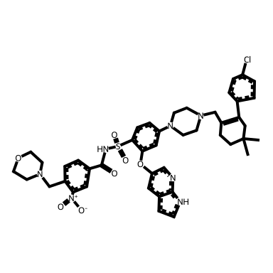 CC1(C)CCC(CN2CCN(c3ccc(S(=O)(=O)NC(=O)c4ccc(CN5CCOCC5)c([N+](=O)[O-])c4)c(Oc4cnc5[nH]ccc5c4)c3)CC2)=C(c2ccc(Cl)cc2)C1